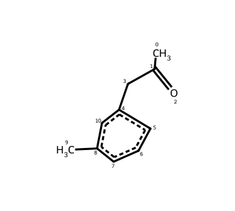 CC(=O)Cc1cccc(C)c1